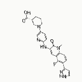 Cn1c(=O)c(Nc2ccc(N3CCC[C@@H](C(=O)O)C3)cn2)cc2c(F)c(-c3cc[nH]n3)ccc21